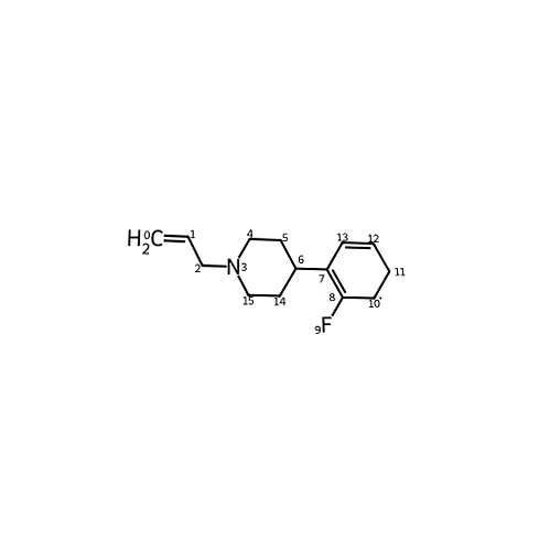 C=CCN1CCC(C2=C(F)[CH]CC=C2)CC1